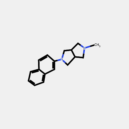 CN1CC2CN(c3ccc4ccccc4c3)CC2C1